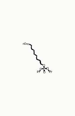 CCCCCCCCCCCCCCCCCCOP(=O)(OC(C)C)OC(C)C